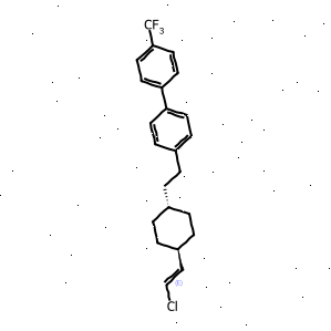 FC(F)(F)c1ccc(-c2ccc(CC[C@H]3CC[C@H](/C=C/Cl)CC3)cc2)cc1